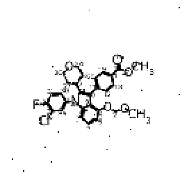 COCOc1cccc2c1c(-c1ccc(C(=O)OC)cc1)c(C1CCOCC1)n2-c1ccc(F)c(Cl)c1